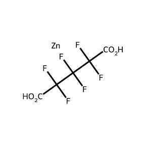 O=C(O)C(F)(F)C(F)(F)C(F)(F)C(=O)O.[Zn]